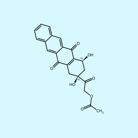 CC(=O)OCC(=O)[C@]1(O)CC2=C(C(=O)c3cc4ccccc4cc3C2=O)[C@@H](O)C1